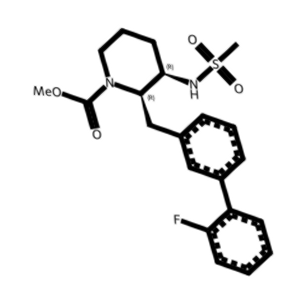 COC(=O)N1CCC[C@@H](NS(C)(=O)=O)[C@H]1Cc1cccc(-c2ccccc2F)c1